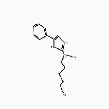 CC(=O)CCCCC[C@H](N)C1=[N+]C=C(c2ccccc2)N1